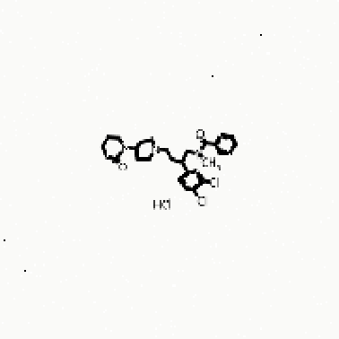 CN(CC(CCN1CCC(N2CCCCC2=O)CC1)c1ccc(Cl)c(Cl)c1)C(=O)c1ccccc1.Cl